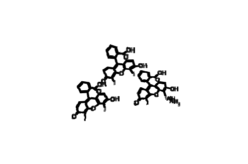 O=C(O)c1ccccc1-c1c2ccc(=O)c(I)c-2oc2c(I)c(O)ccc12.O=C(O)c1ccccc1-c1c2ccc(=O)c(I)c-2oc2c(I)c(O)ccc12.O=C(O)c1ccccc1-c1c2ccc(=O)c(I)c-2oc2c(I)c(O)ccc12.[AlH3].[AlH3]